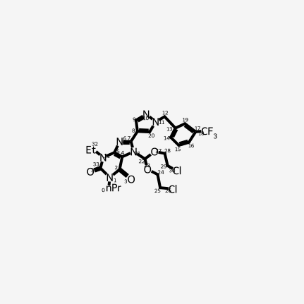 CCCn1c(=O)c2c(nc(-c3cnn(Cc4cccc(C(F)(F)F)c4)c3)n2C(OCCCl)OCCCl)n(CC)c1=O